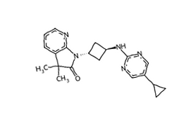 CC1(C)C(=O)N([C@H]2C[C@H](Nc3ncc(C4CC4)cn3)C2)c2ncccc21